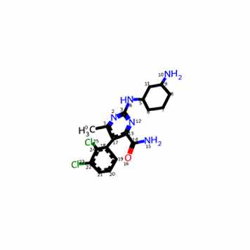 Cc1nc(NC2CCCC(N)C2)nc(C(N)=O)c1-c1cccc(Cl)c1Cl